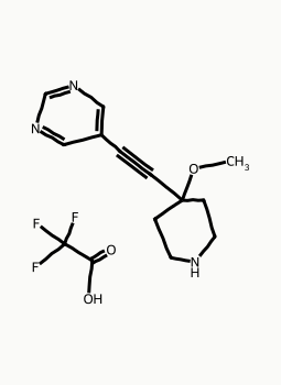 COC1(C#Cc2cncnc2)CCNCC1.O=C(O)C(F)(F)F